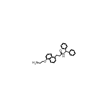 NCCOc1cccc2c(CCC(=O)NC(c3ccccc3)c3ccccc3)cccc12